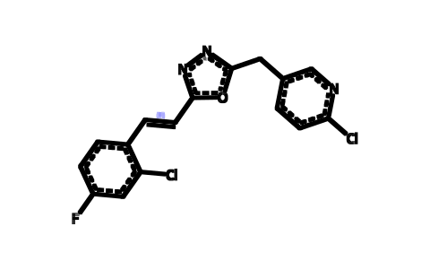 Fc1ccc(/C=C/c2nnc(Cc3ccc(Cl)nc3)o2)c(Cl)c1